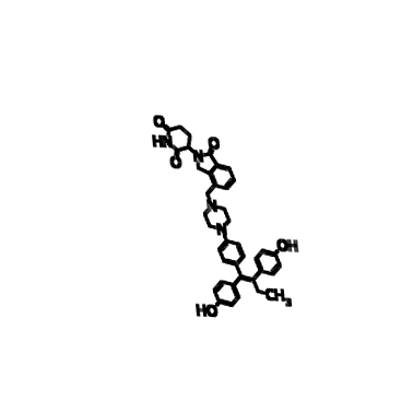 CCC(=C(c1ccc(O)cc1)c1ccc(N2CCN(Cc3cccc4c3CN(C3CCC(=O)NC3=O)C4=O)CC2)cc1)c1ccc(O)cc1